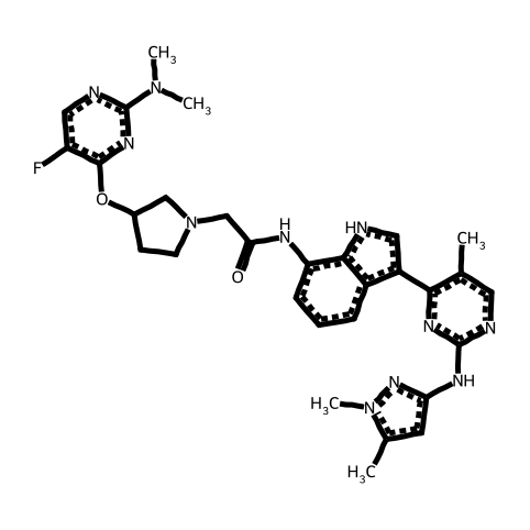 Cc1cnc(Nc2cc(C)n(C)n2)nc1-c1c[nH]c2c(NC(=O)CN3CCC(Oc4nc(N(C)C)ncc4F)C3)cccc12